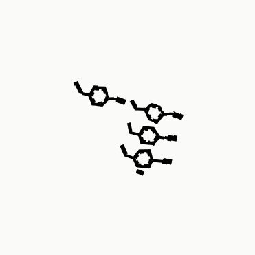 C#Cc1ccc(C=C)cc1.C#Cc1ccc(C=C)cc1.C#Cc1ccc(C=C)cc1.C#Cc1ccc(C=C)cc1.C=C